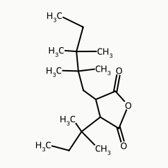 CCC(C)(C)C1C(=O)OC(=O)C1CC(C)(C)C(C)(C)CC